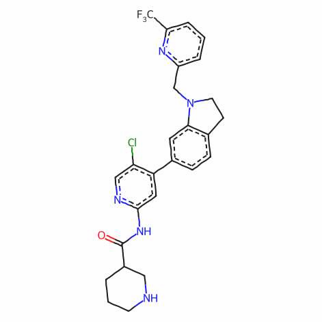 O=C(Nc1cc(-c2ccc3c(c2)N(Cc2cccc(C(F)(F)F)n2)CC3)c(Cl)cn1)C1CCCNC1